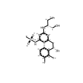 CC[C@@H](Cc1nc(N[C@@H](CO)CC(C)C)nc(NS(C)(=O)=O)n1)c1cccc(F)c1F